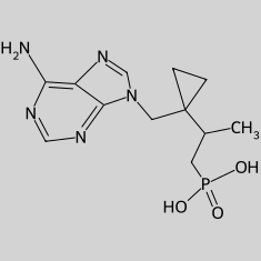 CC(CP(=O)(O)O)C1(Cn2cnc3c(N)ncnc32)CC1